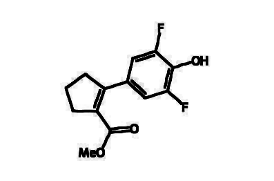 COC(=O)C1=C(c2cc(F)c(O)c(F)c2)CCC1